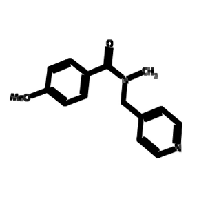 COc1ccc(C(=O)N(C)Cc2ccncc2)cc1